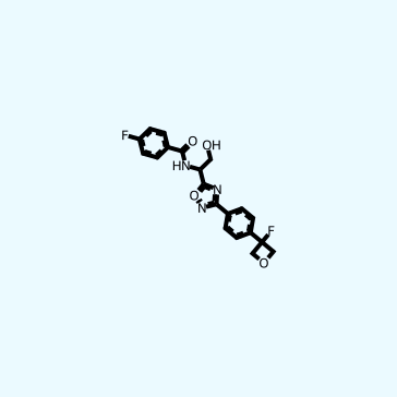 O=C(NC(CO)c1nc(-c2ccc(C3(F)COC3)cc2)no1)c1ccc(F)cc1